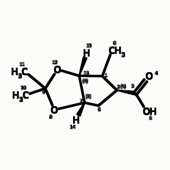 CC1[C@@H](C(=O)O)C[C@@H]2OC(C)(C)O[C@H]12